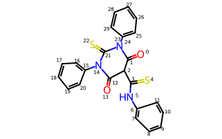 O=C1C(C(=S)Nc2ccccc2)C(=O)N(c2ccccc2)C(=S)N1c1ccccc1